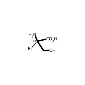 CC[C@@](N)(CO)C(=O)O